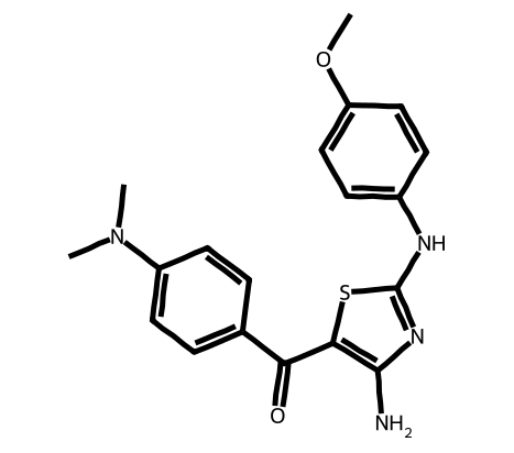 COc1ccc(Nc2nc(N)c(C(=O)c3ccc(N(C)C)cc3)s2)cc1